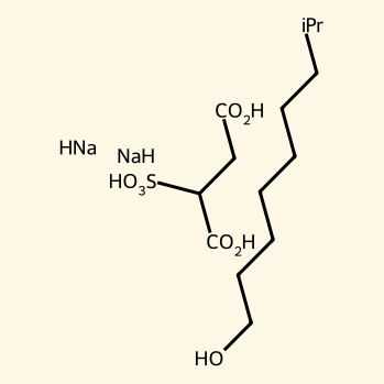 CC(C)CCCCCCCO.O=C(O)CC(C(=O)O)S(=O)(=O)O.[NaH].[NaH]